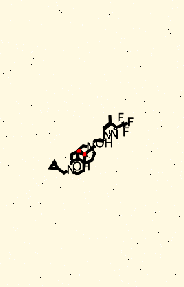 Cc1cn(CCN2CCC34CCN(CC5CC5)C(Cc5ccc(O)cc53)C4(O)CC2)nc1C(F)(F)F